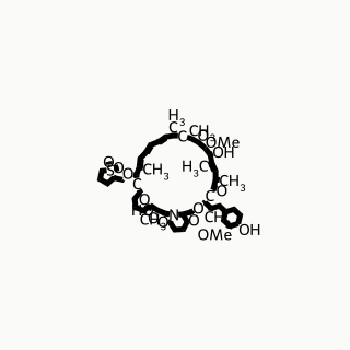 COC1CC(CC(C)C2CC(=O)C(C)/C=C(\C)C(O)C(OC)C(=O)C(C)CC(C)/C=C/C=C/C=C(\C)C(OCC3CCCS3(=O)=O)CC3CCC(C)C(O)(O3)C(=O)C(=O)N3CCCCC3C(=O)O2)CCC1O